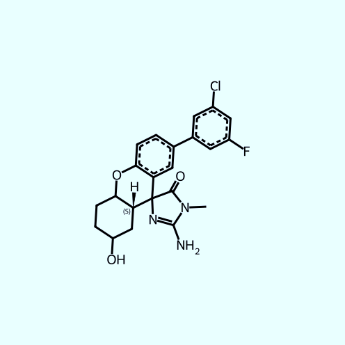 CN1C(=O)C2(N=C1N)c1cc(-c3cc(F)cc(Cl)c3)ccc1OC1CCC(O)C[C@H]12